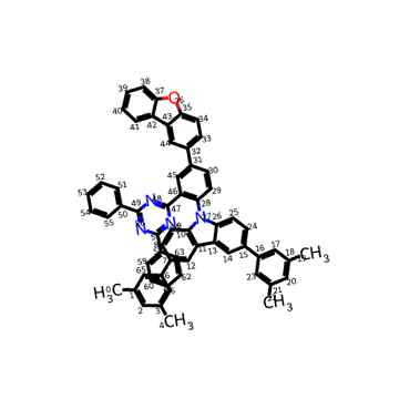 Cc1cc(C)cc(-c2ccc3c(c2)c2cc(-c4cc(C)cc(C)c4)ccc2n3-c2ccc(-c3ccc4oc5ccccc5c4c3)cc2-c2nc(-c3ccccc3)nc(-c3ccccc3)n2)c1